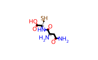 NC(=O)C[C@H](N)C(=O)N[C@@H](CS)C(=O)O